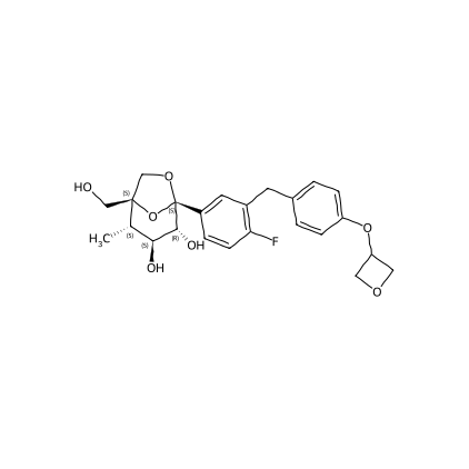 C[C@H]1[C@H](O)[C@@H](O)[C@@]2(c3ccc(F)c(Cc4ccc(OC5COC5)cc4)c3)OC[C@]1(CO)O2